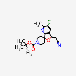 Cc1nc2c(cc1Cl)/C(=C/C#N)OC21CCN(C(=O)OC(C)(C)C)CC1